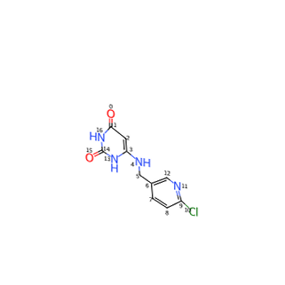 O=c1cc(NCc2ccc(Cl)nc2)[nH]c(=O)[nH]1